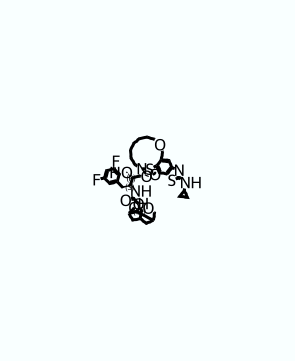 O=C(N[C@@H](Cc1cc(F)cc(F)c1)[C@H](O)CN1CCCCCCCOCc2cc3nc(NC4CC4)sc3cc2S1(=O)=O)O[C@H]1C2CO[C@H]3OC1CC3C2